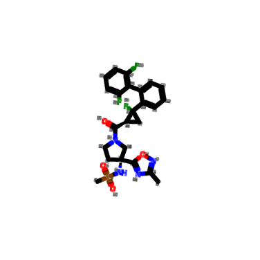 Cc1noc([C@@]2(NS(C)(=O)=O)CCN(C(=O)[C@@H]3C[C@@]3(F)c3ccccc3-c3c(F)cccc3F)C2)n1